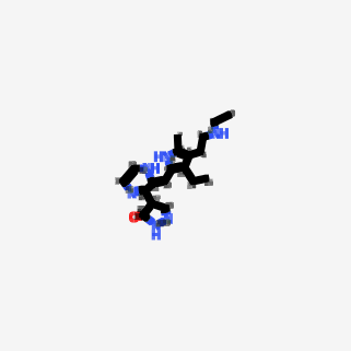 CCNCCc1c(C)[nH]c(C=C2NC=CN=C2C2C=NNC2=O)c1CC